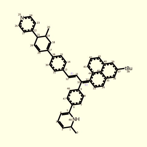 CC1C=CC=C(c2ccc(C(/C=C/c3ccc(C4=CC(C)C(c5ccncc5)C=C4)cc3)=c3\ccc4cc(C(C)(C)C)cc5cccc3c54)cc2)N1